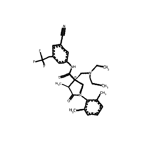 CCN(CC)C[C@@]1(C(=O)Nc2cc(C#N)cc(C(F)(F)F)c2)CN(c2c(C)cccc2C)C(=O)C1C